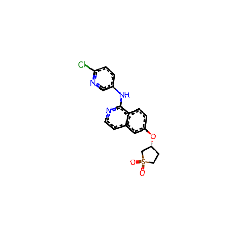 O=S1(=O)CC[C@@H](Oc2ccc3c(Nc4ccc(Cl)nc4)nccc3c2)C1